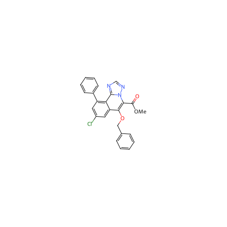 COC(=O)c1c(OCc2ccccc2)c2cc(Cl)cc(-c3ccccc3)c2c2ncnn12